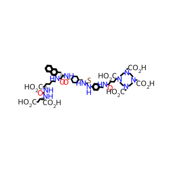 O=C(O)CC[C@H](NC(=O)N[C@@H](CCCCNC(=O)[C@H](Cc1ccc2ccccc2c1)NC(=O)[C@H]1CC[C@H](CNC(=S)Nc2ccc(CNC(=O)CCC(C(=O)O)N3CCN(CC(=O)O)CCN(CC(=O)O)CCN(CC(=O)O)CC3)cc2)CC1)C(=O)O)C(=O)O